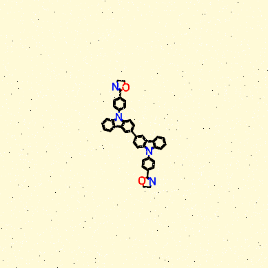 c1ccc2c(c1)c1cc(-c3ccc4c(c3)c3ccccc3n4-c3ccc(C4=NCCO4)cc3)ccc1n2-c1ccc(C2=NCCO2)cc1